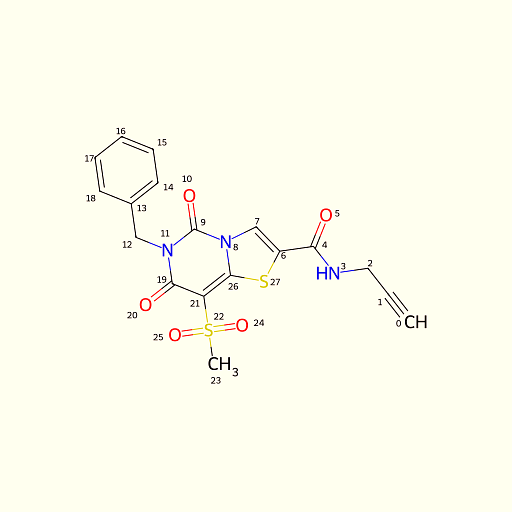 C#CCNC(=O)c1cn2c(=O)n(Cc3ccccc3)c(=O)c(S(C)(=O)=O)c2s1